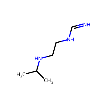 CC(C)NCCNC=N